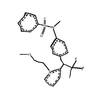 COCCn1cccc1C(c1ccc(N(C)S(=O)(=O)c2ccccc2)cc1)C(F)(F)F